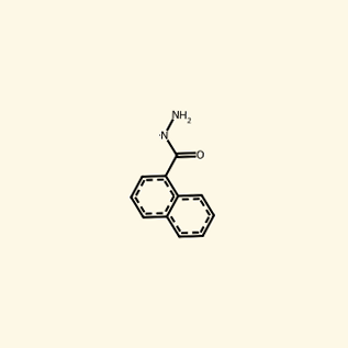 N[N]C(=O)c1cccc2ccccc12